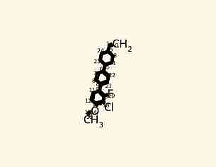 C=CC1CCC(c2ccc(-c3ccc(OCC)c(Cl)c3F)cc2)CC1